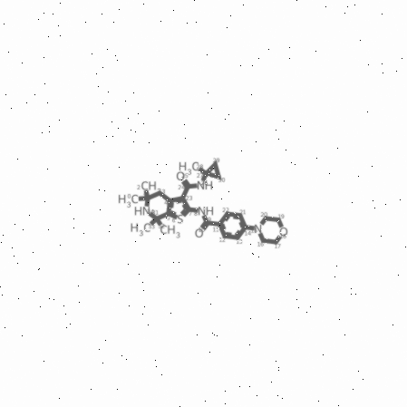 CC1(C)Cc2c(sc(NC(=O)c3ccc(N4CCOCC4)cc3)c2C(=O)NC2(C)CC2)C(C)(C)N1